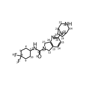 O=C(NC1CCC(F)(F)CC1)N1Cc2ccc(N3C4CCC3CNC4)nc2C1